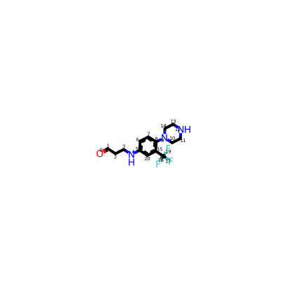 O=CCCNc1ccc(N2CCNCC2)c(C(F)(F)F)c1